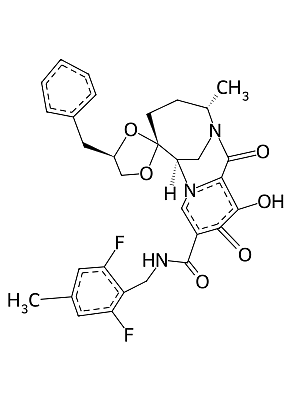 Cc1cc(F)c(CNC(=O)c2cn3c(c(O)c2=O)C(=O)N2C[C@@H]3[C@]3(CC[C@@H]2C)OC[C@@H](Cc2ccccc2)O3)c(F)c1